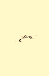 COc1ccc(/C=C/C(=O)Nc2cc(/C=C/c3cc(OC)c(OC)c(OC)c3)cc(O)c2OC)cc1N